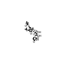 CO[C@]1(COP(=O)(N[C@H](C)C(=O)OC(C)C)OCCSC(=O)C(C)(C)C)O[C@@H](n2ccc(=O)[nH]c2=O)[C@H](O)[C@@H]1O